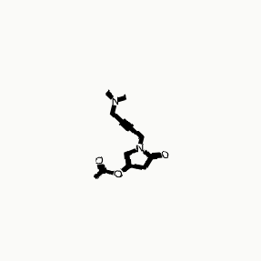 CC(=O)OC1CC(=O)N(CC#CCN(C)C)C1